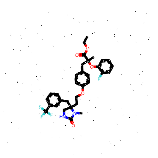 CCOC(=O)C(C)(Cc1ccc(OCCC2(Cc3cccc(C(F)(F)F)c3)CNC(=O)N2C)cc1)Oc1ccccc1F